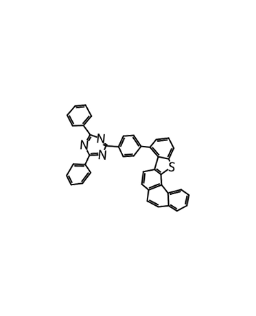 c1ccc(-c2nc(-c3ccccc3)nc(-c3ccc(-c4cccc5sc6c(ccc7ccc8ccccc8c76)c45)cc3)n2)cc1